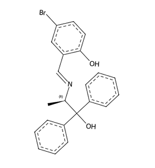 C[C@@H](N=Cc1cc(Br)ccc1O)C(O)(c1ccccc1)c1ccccc1